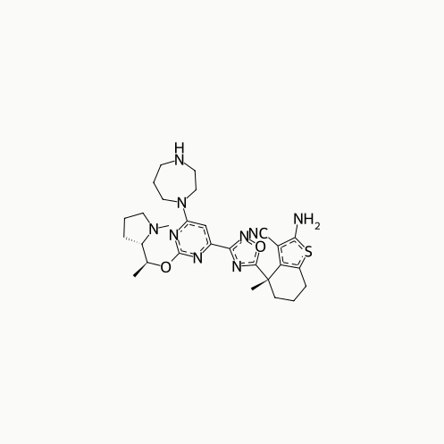 C[C@H](Oc1nc(-c2noc([C@@]3(C)CCCc4sc(N)c(C#N)c43)n2)cc(N2CCCNCC2)n1)[C@@H]1CCCN1C